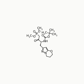 COP(=O)(CC(=O)[C@H](Cc1cc2n(n1)CCCO2)NC(=O)OC(C)(C)C)OC